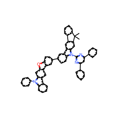 CC1(C)c2ccccc2-c2cc3c4cc(-c5ccc6oc7cc8c(cc7c6c5)c5ccccc5n8-c5ccccc5)ccc4n(-c4nc(-c5ccccc5)cc(-c5ccccc5)n4)c3cc21